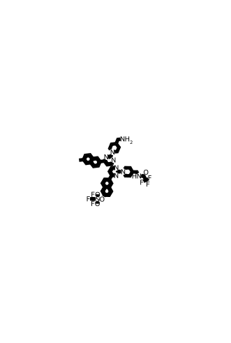 Cc1ccc2cc(-c3ccnc(N4CCC(CN)CC4)n3)ccc2c1.O=C(NCC1CCN(c2nccc(-c3ccc4cc(OS(=O)(=O)C(F)(F)F)ccc4c3)n2)CC1)C(F)(F)F